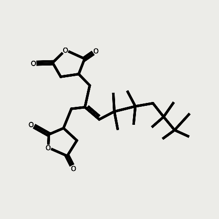 CC(C)(C)C(C)(C)CC(C)(C)C(C)(C)C=C(CC1CC(=O)OC1=O)CC1CC(=O)OC1=O